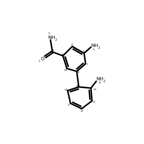 NC(=O)c1cc(N)cc(-c2ccccc2N)c1